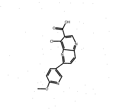 COc1ccc(-c2ccc3ncc(C(=O)O)c(Cl)c3n2)cn1